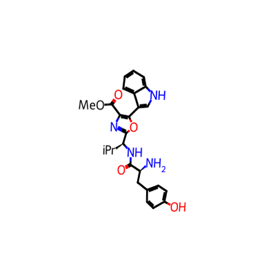 COC(=O)c1nc([C@@H](NC(=O)[C@@H](N)Cc2ccc(O)cc2)C(C)C)oc1-c1c[nH]c2ccccc12